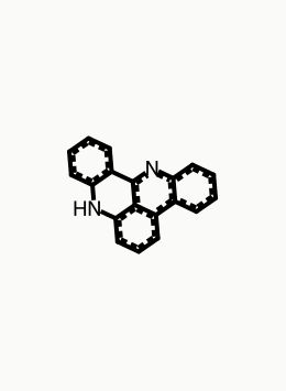 c1ccc2c(c1)Nc1cccc3c1c-2nc1ccccc13